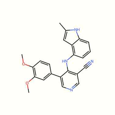 COc1ccc(-c2cncc(C#N)c2Nc2cccc3[nH]c(C)cc23)cc1OC